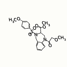 COCC(=O)N1CC(C(=O)OC)N(S(=O)(=O)c2ccc(OC)cc2)Cc2ccccc21